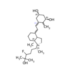 C=C1/C(=C\C=C2CCC[C@@]3(C)C2CC[C@@H]3[C@H](C)CCC(F)C(C)(C)O)C[C@@H](O)C[C@H]1O